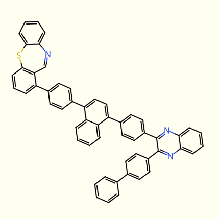 C1=Nc2ccccc2Sc2cccc(-c3ccc(-c4ccc(-c5ccc(-c6nc7ccccc7nc6-c6ccc(-c7ccccc7)cc6)cc5)c5ccccc45)cc3)c21